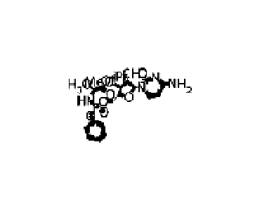 COC1[C@@H](COP(=O)(N[C@@H](C)C(=O)OC(C)C)Oc2ccccc2)O[C@@H](n2ccc(N)nc2=O)[C@H]1C